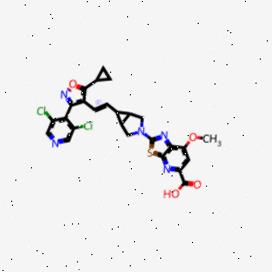 COc1cc(C(=O)O)nc2sc(N3CC4C(/C=C/c5c(-c6c(Cl)cncc6Cl)noc5C5CC5)C4C3)nc12